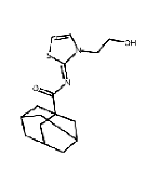 O=C(N=c1sccn1CCO)C12CC3CC(CC(C3)C1)C2